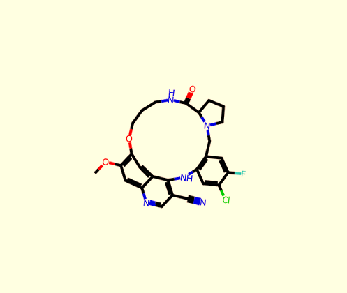 COc1cc2ncc(C#N)c3c2cc1OCCCNC(=O)C1CCCN1Cc1cc(F)c(Cl)cc1N3